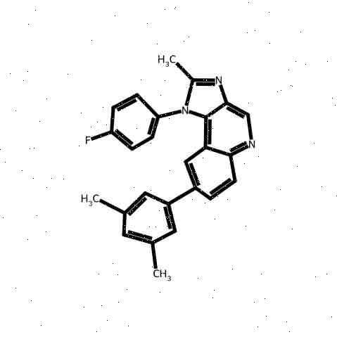 Cc1cc(C)cc(-c2ccc3ncc4nc(C)n(-c5ccc(F)cc5)c4c3c2)c1